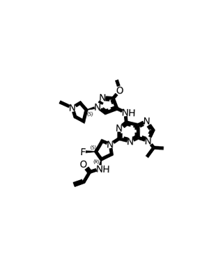 C=CC(=O)N[C@@H]1CN(c2nc(Nc3cn([C@H]4CCN(C)C4)nc3OC)c3ncn(C(C)C)c3n2)C[C@@H]1F